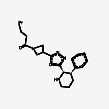 CC(C)CCC(=O)N1CC(c2nnc([C@H]3NCCC[C@H]3c3ccccc3)o2)C1